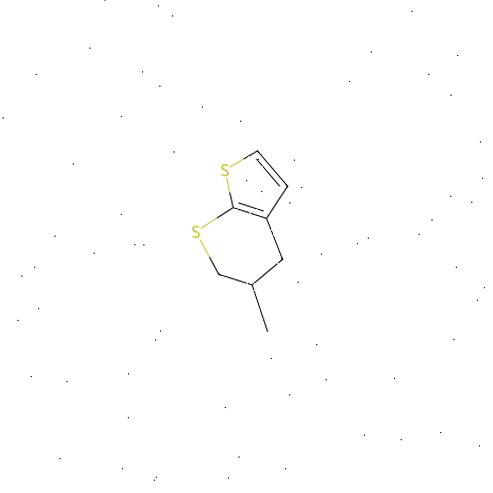 CC1CSc2sccc2C1